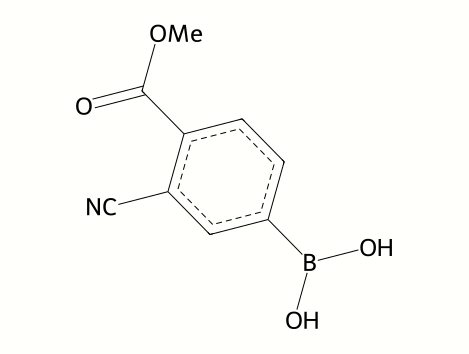 COC(=O)c1ccc(B(O)O)cc1C#N